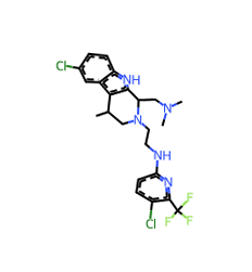 CC1CN(CCNc2ccc(Cl)c(C(F)(F)F)n2)C(CN(C)C)c2[nH]c3ccc(Cl)cc3c21